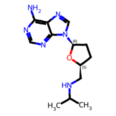 CC(C)NC[C@@H]1CC[C@H](n2cnc3c(N)ncnc32)O1